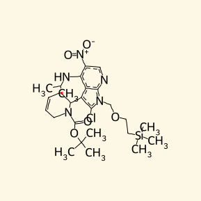 CC(C)Nc1c([N+](=O)[O-])cnc2c1c(C1CC=CCN1C(=O)OC(C)(C)C)c(Cl)n2COCC[Si](C)(C)C